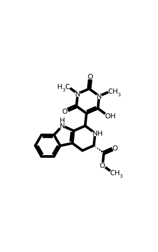 COC(=O)[C@@H]1Cc2c([nH]c3ccccc23)C(c2c(O)n(C)c(=O)n(C)c2=O)N1